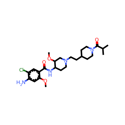 COc1cc(N)c(Cl)cc1C(=O)NC1CCN(CCC2CCN(C(=O)C(C)C)CC2)CC1OC